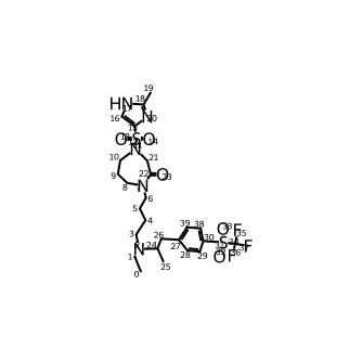 CCN(CCCCN1CCCN(S(=O)(=O)c2c[nH]c(C)n2)CC1=O)C(C)Cc1ccc(S(=O)(=O)C(F)(F)F)cc1